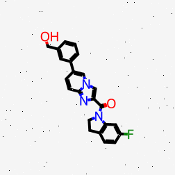 O=C(c1cn2cc(-c3cccc(CO)c3)ccc2n1)N1CCc2ccc(F)cc21